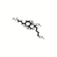 CCCCCC1(C)OC[C@H]2BC(CCCC)C=C[C@H]2O1